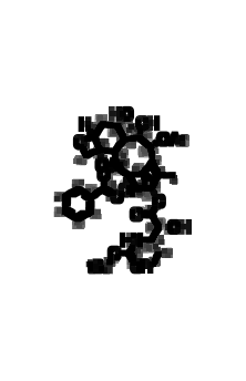 CC(=O)O[C@H]1C2=C(C)[C@@H](OC(=O)[C@H](O)[C@H](CC(C)C)NC(=O)OC(C)(C)C)C[C@@](O)([C@@H](OC(=O)c3ccccc3)C3[C@@](C)([C@@H](O)C[C@H]4OC[C@@]34OC(C)=O)[C@H]1O)C2(C)C